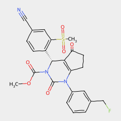 COC(=O)N1C(=O)N(c2cccc(CF)c2)C2=C(C(=O)CC2)[C@H]1c1ccc(C#N)cc1S(C)(=O)=O